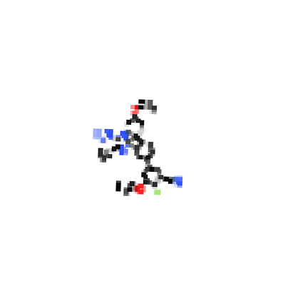 COc1cc(-c2ccc3c(c2)C2(N=C(C)C(N)=N2)C32CCC(OC)CC2)cc(C#N)c1F